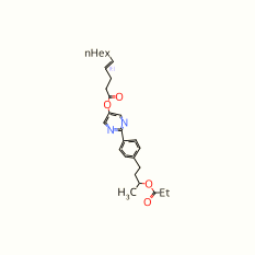 CCCCCC/C=C/CCC(=O)Oc1cnc(-c2ccc(CCC(C)OC(=O)CC)cc2)nc1